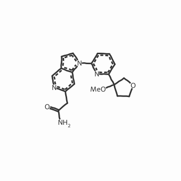 COC1(c2cccc(-n3ccc4cnc(CC(N)=O)cc43)n2)CCOC1